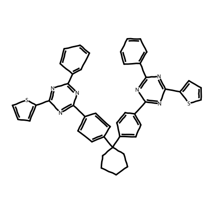 c1ccc(-c2nc(-c3ccc(C4(c5ccc(-c6nc(-c7ccccc7)nc(-c7cccs7)n6)cc5)CCCCC4)cc3)nc(-c3cccs3)n2)cc1